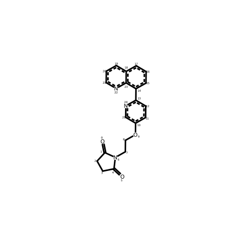 O=C1CCC(=O)N1CCOc1ccc(-c2cccc3cccnc23)nc1